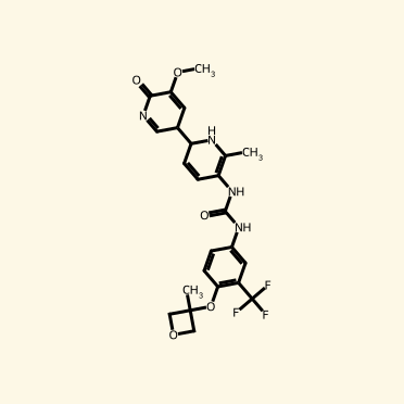 COC1=CC(C2C=CC(NC(=O)Nc3ccc(OC4(C)COC4)c(C(F)(F)F)c3)=C(C)N2)C=NC1=O